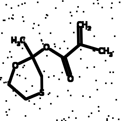 C=C(C)C(=O)OC1(C)CSCCO1